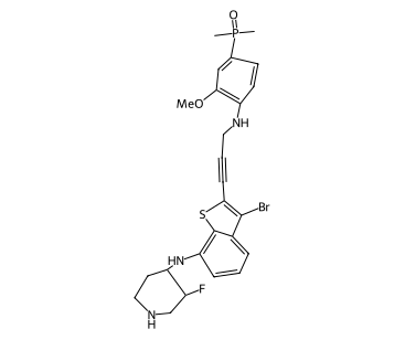 COc1cc(P(C)(C)=O)ccc1NCC#Cc1sc2c(NC3CCNCC3F)cccc2c1Br